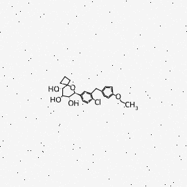 CCOc1ccc(Cc2cc([C@@H]3OC4(CCC4)[C@@H](O)[C@H](O)[C@H]3O)ccc2Cl)cc1